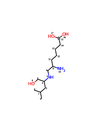 CC(C)CC(CO)NCC(N)CCCCB(O)O